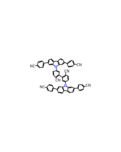 N#Cc1ccc(-c2ccc3c4ccc(-c5ccc(C#N)cc5)cc4n(-c4ccc(C#N)c(-c5cc(-n6c7cc(-c8ccc(C#N)cc8)ccc7c7ccc(-c8ccc(C#N)cc8)cc76)ccc5C#N)c4)c3c2)cc1